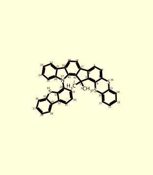 CC1(C)c2c(ccc3c2Sc2ccccc2S3)-c2ccc3c4ccccc4n(-c4cccc5c4sc4ccccc45)c3c21